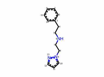 c1ccc(CCNCCn2cccn2)cc1